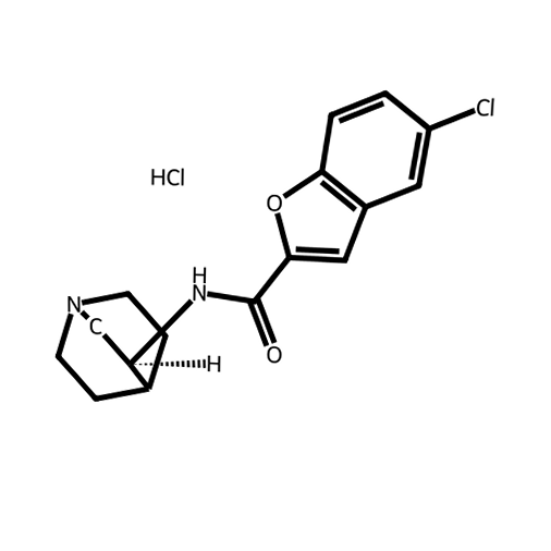 Cl.O=C(N[C@@H]1CN2CCC1CC2)c1cc2cc(Cl)ccc2o1